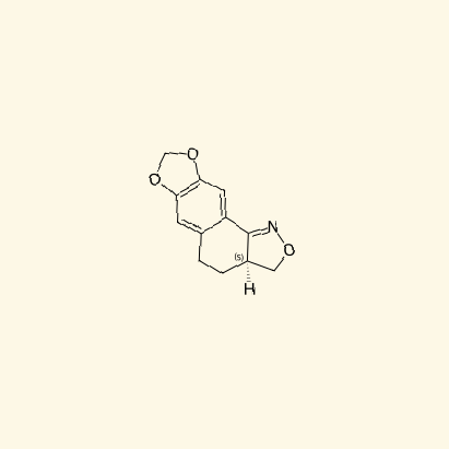 c1c2c(cc3c1OCO3)C1=NOC[C@H]1CC2